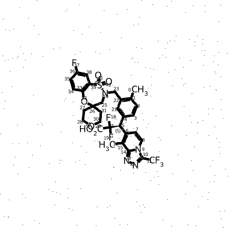 Cc1ccc([C@@H](c2ccn3c(C(F)(F)F)nnc3c2C)C(F)(F)C(=O)O)cc1CN1CC2(CCOCC2)Oc2ccc(F)cc2S1(=O)=O